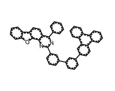 c1ccc(-c2nc(-c3cccc(-c4cccc(-c5ccc6c7ccccc7c7ccccc7c6c5)c4)c3)nc3c2ccc2c4ccccc4oc23)cc1